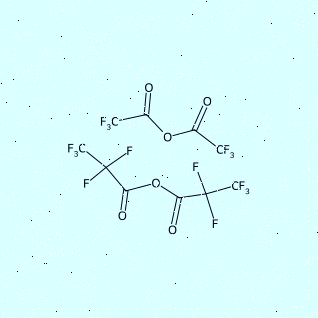 O=C(OC(=O)C(F)(F)C(F)(F)F)C(F)(F)C(F)(F)F.O=C(OC(=O)C(F)(F)F)C(F)(F)F